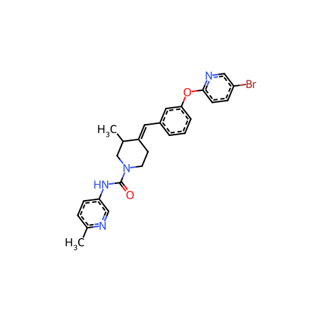 Cc1ccc(NC(=O)N2CCC(=Cc3cccc(Oc4ccc(Br)cn4)c3)C(C)C2)cn1